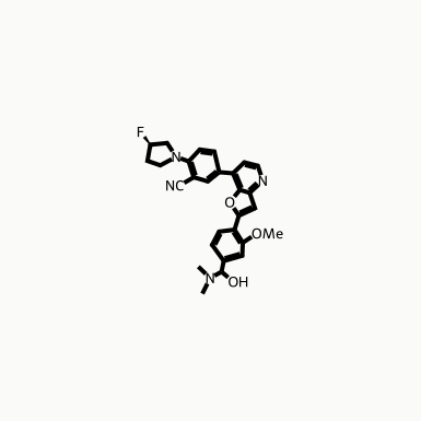 COc1cc(C(O)N(C)C)ccc1-c1cc2nccc(-c3ccc(N4CC[C@@H](F)C4)c(C#N)c3)c2o1